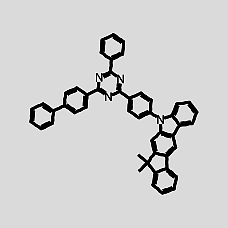 CC1(C)c2ccccc2-c2cc3c4ccccc4n(-c4ccc(-c5nc(-c6ccccc6)nc(-c6ccc(-c7ccccc7)cc6)n5)cc4)c3cc21